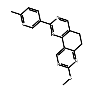 CSc1ncc2c(n1)CCc1cnc(-c3ccc(C)nc3)nc1-2